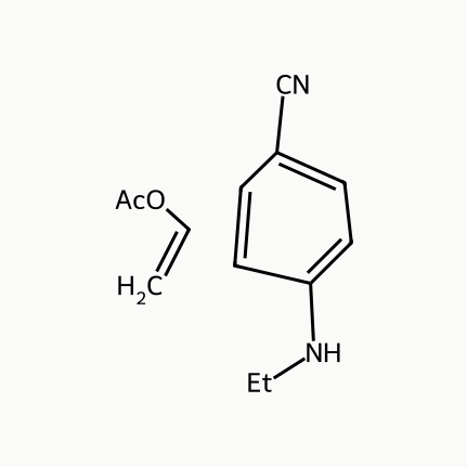 C=COC(C)=O.CCNc1ccc(C#N)cc1